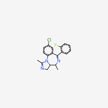 CC1=NCC2C(C)N=C(c3ccccc3F)c3cc(Cl)ccc3N12